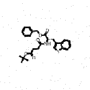 CC(C)(C)OC(=O)CCC(=O)N[C@@H](Cc1c[nH]c2ccccc12)C(=O)OCc1ccccc1